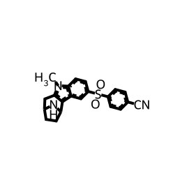 Cn1c2c(c3cc(S(=O)(=O)c4ccc(C#N)cc4)ccc31)C1CCC(C2)N1